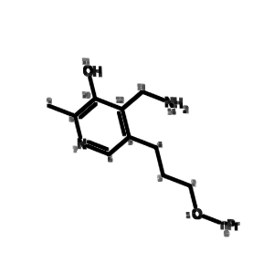 CCCOCCCc1cnc(C)c(O)c1CN